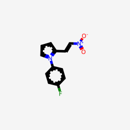 O=[N+]([O-])C=Cc1cccn1-c1ccc(F)cc1